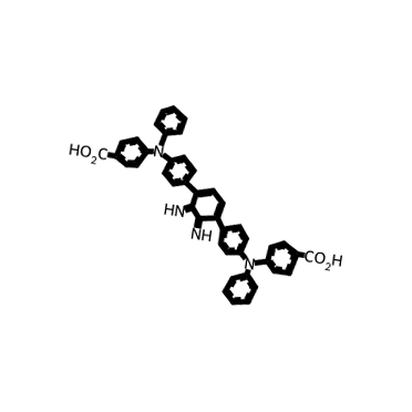 N=C1C(=N)C(c2ccc(N(c3ccccc3)c3ccc(C(=O)O)cc3)cc2)=CC=C1c1ccc(N(c2ccccc2)c2ccc(C(=O)O)cc2)cc1